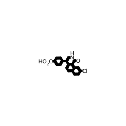 O=C(O)c1ccc(-c2c[nH]c(=O)c3c2ccc2ccc(Cl)cc23)cc1